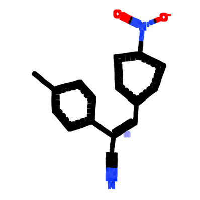 Cc1ccc(/C(C#N)=C\c2ccc([N+](=O)[O-])cc2)cc1